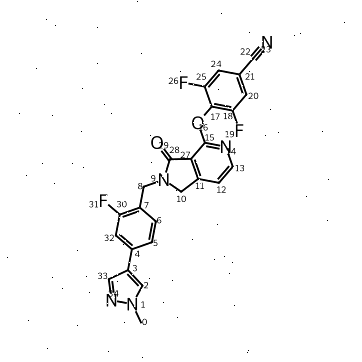 Cn1cc(-c2ccc(CN3Cc4ccnc(Oc5c(F)cc(C#N)cc5F)c4C3=O)c(F)c2)cn1